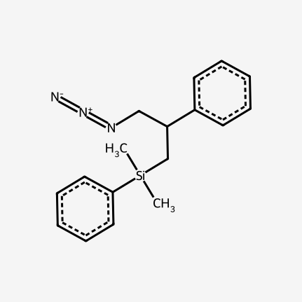 C[Si](C)(CC(CN=[N+]=[N-])c1ccccc1)c1ccccc1